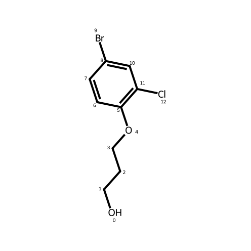 OCCCOc1ccc(Br)cc1Cl